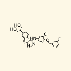 OCC(CO)c1ccc2c(c1)sc1ncnc(Nc3ccc(OCc4cccc(F)c4)c(Cl)c3)c12